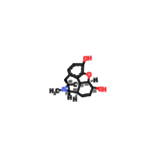 CN1[C@H]2[C@@H]3C=C[C@H](O)[C@@H]4Oc5c(O)ccc6c5[C@]34C[C@]21C6